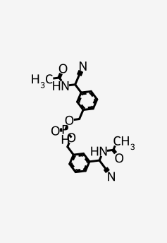 CC(=O)NC(C#N)c1cccc(CO[PH](=O)OCc2cccc(C(C#N)NC(C)=O)c2)c1